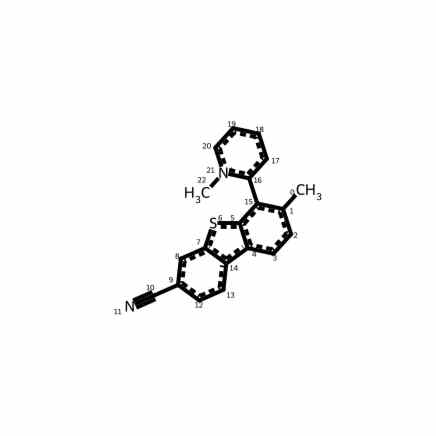 Cc1ccc2c(sc3cc(C#N)ccc32)c1-c1cccc[n+]1C